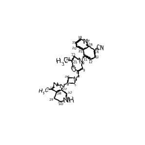 Cc1nn(C2CN(CC3CN(c4ccc(C#N)c5ncccc45)CC(C)O3)C2)c2c1CCNC2